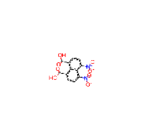 O=C(O)c1ccc([N+](=O)[O-])c2c([N+](=O)[O-])ccc(C(=O)O)c12